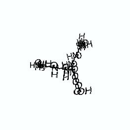 O=C(O)CCOCCOCCOCCNC(=O)c1cc(NC(=O)CCCCNC(=O)CCCC[C@@H]2SC[C@@H]3NC(=O)N[C@@H]32)cc(NC(=O)CCCCNC(=O)CCCC[C@@H]2SC[C@@H]3NC(=O)N[C@@H]32)c1